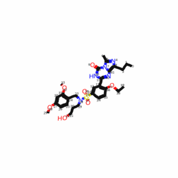 CCCc1nc(C)n2c(=O)[nH]c(-c3cc(S(=O)(=O)N(CCCO)Cc4ccc(OC)cc4OC)ccc3OCC)nc12